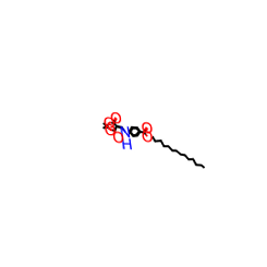 CCCCCCCCCCCCCCOC(=O)c1ccc(NC=C2C(=O)OC(C)(C)OC2=O)cc1